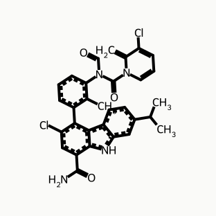 C=C1C(Cl)=CC=CN1C(=O)N(C=O)c1cccc(-c2c(Cl)cc(C(N)=O)c3[nH]c4cc(C(C)C)ccc4c23)c1C